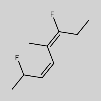 CC/C(F)=C(C)\C=C/C(C)F